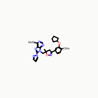 CNc1ncnc2c1nc(-n1cccn1)n2CC1(C)CC(c2ccc(OC)c(OC3CCCC3)c2)=NO1